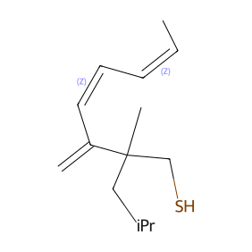 C=C(/C=C\C=C/C)C(C)(CS)CC(C)C